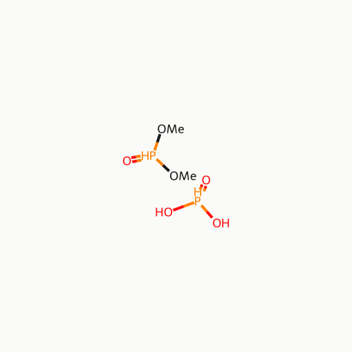 CO[PH](=O)OC.O=[PH](O)O